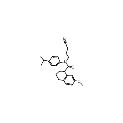 COc1ccc2c(c1)C(C(=O)N(CCCC#N)c1ccc(C(C)C)cc1)CCC2